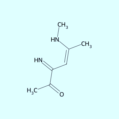 CN/C(C)=C\C(=N)C(C)=O